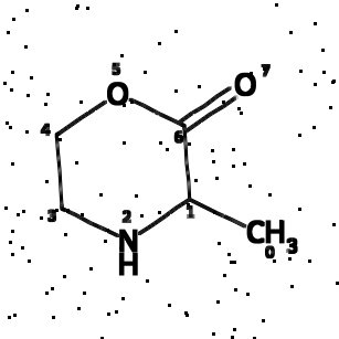 CC1NCCOC1=O